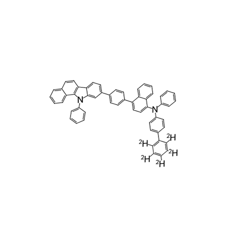 [2H]c1c([2H])c([2H])c(-c2ccc(N(c3ccccc3)c3ccc(-c4ccc(-c5ccc6c7ccc8ccccc8c7n(-c7ccccc7)c6c5)cc4)c4ccccc34)cc2)c([2H])c1[2H]